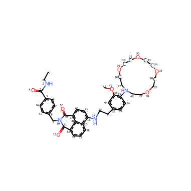 CCNC(=O)c1ccc(CN2C(=O)c3cccc4c(NCCc5ccc(N6CCOCCOCCOCCOCC6)c(OC)c5)ccc(c34)C2=O)cc1